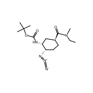 CCN(C)C(=O)[C@H]1CC[C@H](N=[N+]=[N-])[C@H](NC(=O)OC(C)(C)C)C1